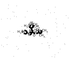 Cc1cc(C)c(CNC(=O)c2cc(C3=CC(C)(C)NC(C)(C)C3)nc3c2cnn3C2CCN(C)CC2)c(=O)[nH]1